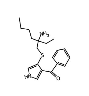 CCCCC(N)(CC)CSc1c[nH]cc1C(=O)c1ccccc1